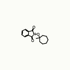 CC1(ON2C(=O)c3ccccc3C2=O)CCCCCC1